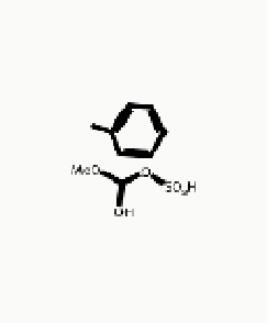 COC(O)OS(=O)(=O)O.Cc1ccccc1